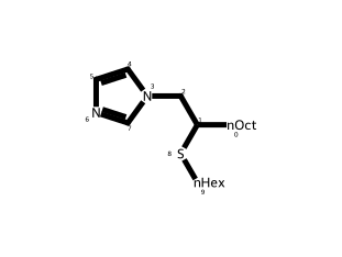 CCCCCCCCC(Cn1ccnc1)SCCCCCC